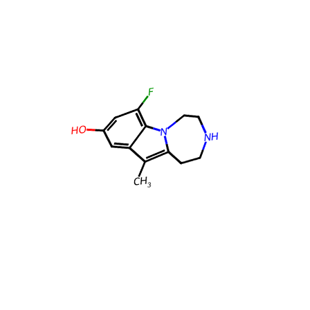 Cc1c2n(c3c(F)cc(O)cc13)CCNCC2